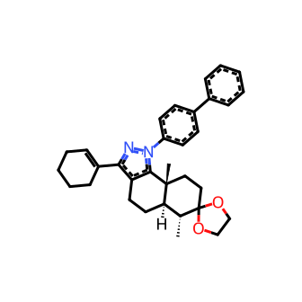 C[C@@H]1[C@H]2CCc3c(C4=CCCCC4)nn(-c4ccc(-c5ccccc5)cc4)c3[C@]2(C)CCC12OCCO2